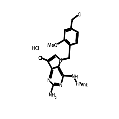 CCCCCNc1nc(N)nc2c(Cl)cn(Cc3ccc(CCl)cc3OC)c12.Cl